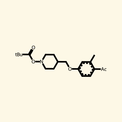 CC(=O)c1ccc(OCC2CCN(OC(=O)C(C)(C)C)CC2)cc1C